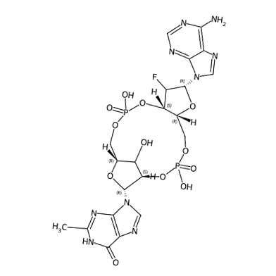 Cc1nc2c(ncn2[C@@H]2O[C@@H]3COP(=O)(O)O[C@@H]4C(F)[C@H](n5cnc6c(N)ncnc65)O[C@@H]4COP(=O)(O)O[C@H]2C3O)c(=O)[nH]1